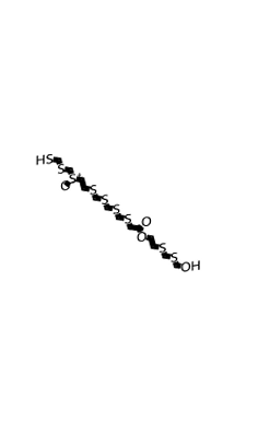 O=C(CSCSCSCSCC[S+]([O-])CSCS)OCCSCSCO